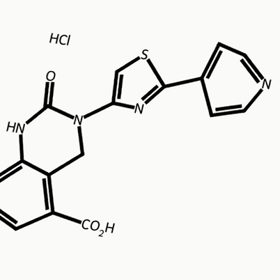 Cl.O=C(O)c1cccc2c1CN(c1csc(-c3ccncc3)n1)C(=O)N2